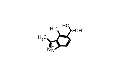 Cc1n[nH]c2ccc(B(O)O)c(C)c12